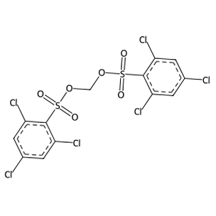 O=S(=O)(OCOS(=O)(=O)c1c(Cl)cc(Cl)cc1Cl)c1c(Cl)cc(Cl)cc1Cl